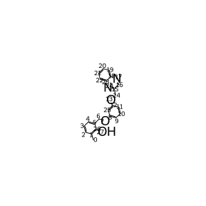 Cc1cccc(COc2cccc(OCc3cnc4ccccc4n3)c2)c1O